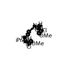 COc1cccc2c(C(=O)N(C)[C@@H](CC(C)C)c3ncc(-c4ccc5cc(C#Cc6cnc([C@@H]7C[C@H]8C[C@H]8N7C(=O)c7nc(Cl)cc8c(OC)cccc78)[nH]6)ccc5c4)[nH]3)nc(Cl)cc12